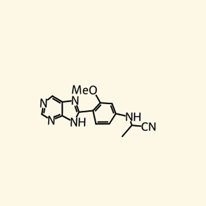 COc1cc(NC(C)C#N)ccc1-c1nc2cncnc2[nH]1